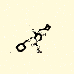 CC(C)(C)OC(=O)N1C[C@@H]2C[C@@]1(COCc1ccccc1)C(=O)N2CC12CC(C1)C2